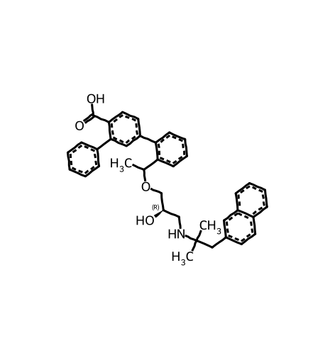 CC(OC[C@H](O)CNC(C)(C)Cc1ccc2ccccc2c1)c1ccccc1-c1ccc(C(=O)O)c(-c2ccccc2)c1